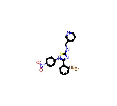 Br.Br.O=[N+]([O-])c1ccc(-n2s/c(=N\Cc3cccnc3)nc2-c2ccccc2)cc1